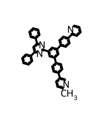 Cc1ccc(-c2ccc(-c3cc(-c4ccc(-c5ccccn5)cc4)cc(-c4nc(-c5ccccc5)cc(-c5ccccc5)n4)c3)cc2)cn1